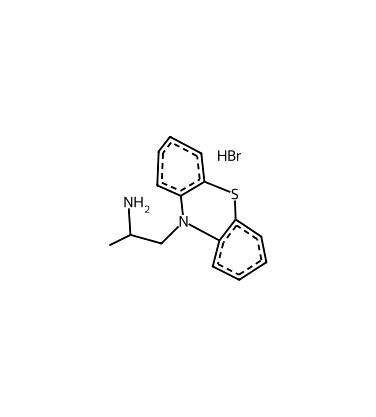 Br.CC(N)CN1c2ccccc2Sc2ccccc21